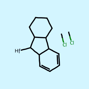 CCl.CCl.[Hf][CH]1C2C=CC=CC2C2CCCCC12